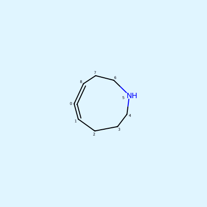 C1=CCCCNCCC=1